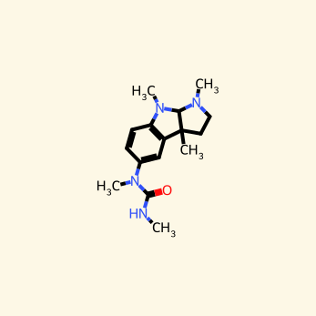 CNC(=O)N(C)c1ccc2c(c1)C1(C)CCN(C)C1N2C